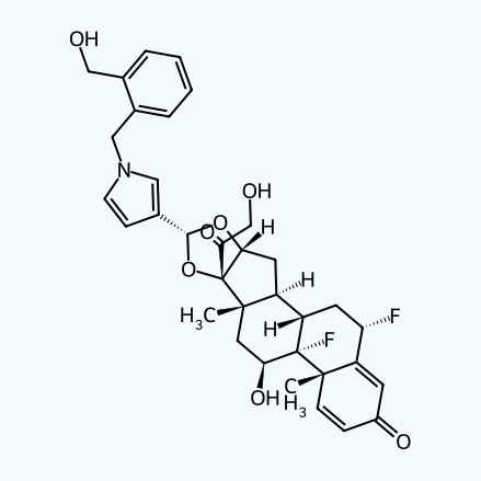 C[C@]12C=CC(=O)C=C1[C@@H](F)C[C@H]1[C@@H]3C[C@H]4O[C@@H](c5ccn(Cc6ccccc6CO)c5)O[C@@]4(C(=O)CO)[C@@]3(C)C[C@H](O)[C@@]12F